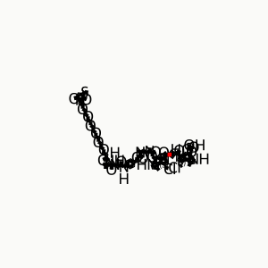 CSC1CC(=O)N(CCOCCOCCOCCOCCOCCOCCC(=O)N[C@H](C(=O)NCC(=O)Nc2ccc(COC(=O)N(C)CCN(C)C(=O)Oc3cc4c(c5c(C)c[nH]c35)[C@H](CCl)CN4C(=O)C34CC(C(=O)N5C[C@@H](CCl)c6c5cc(OP(=O)(O)O)c5[nH]cc(C)c65)(C3)C4)cc2)C(C)C)C1=O